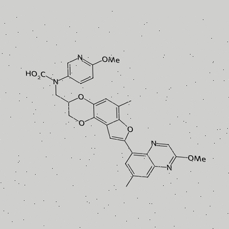 COc1ccc(N(CC2COc3c(cc(C)c4oc(-c5cc(C)cc6nc(OC)cnc56)cc34)O2)C(=O)O)cn1